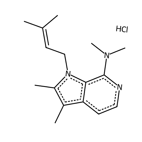 CC(C)=CCn1c(C)c(C)c2ccnc(N(C)C)c21.Cl